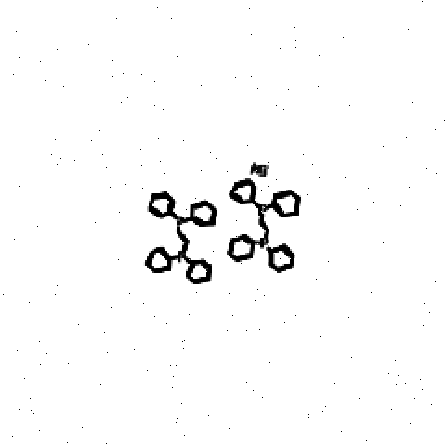 [Ag].c1ccc(P(CCP(c2ccccc2)c2ccccc2)c2ccccc2)cc1.c1ccc(P(CCP(c2ccccc2)c2ccccc2)c2ccccc2)cc1